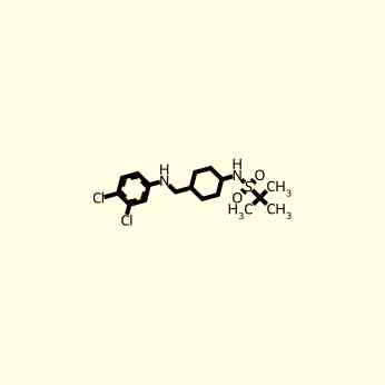 CC(C)(C)S(=O)(=O)NC1CCC(CNc2ccc(Cl)c(Cl)c2)CC1